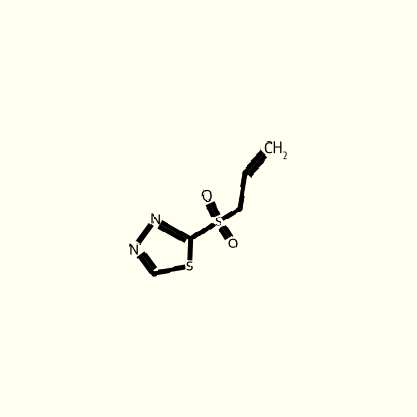 C=CCS(=O)(=O)c1nncs1